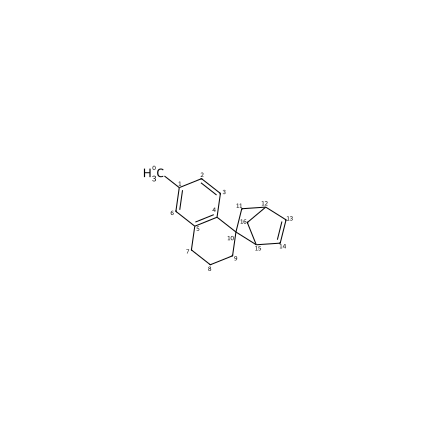 Cc1ccc2c(c1)CCCC21CC2C=CC1C2